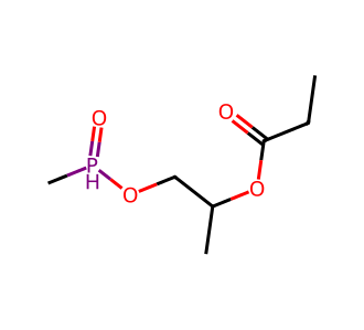 CCC(=O)OC(C)CO[PH](C)=O